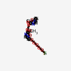 COc1cc2c(cc1OCCCOc1cc3c(cc1OC)C(=O)N1c4cc(OCCOCCOCCOCCOCCSF)ccc4C[C@H]1C=N3)N=C[C@@H]1Cc3ccccc3N1C2=O